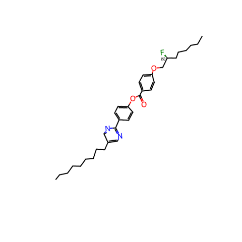 CCCCCCCCCc1cnc(-c2ccc(OC(=O)c3ccc(OC[C@@H](F)CCCCCC)cc3)cc2)nc1